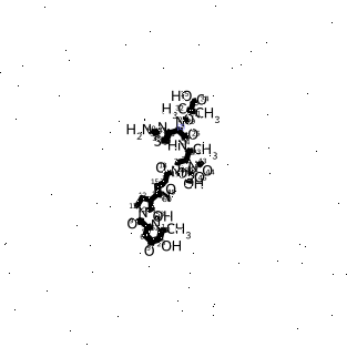 Cc1c(O)c(=O)cc(C(=O)N2CCC(c3cc(C(=O)NCC(C(C)NC(=O)/C(=N\OC(C)(C)C(=O)O)c4csc(N)n4)N(C=O)S(=O)(=O)O)on3)C2)n1O